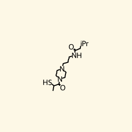 CC(C)CC(=O)NCCCN1CCN(C(=O)C(C)S)CC1